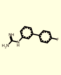 N=C(N)Nc1cccc(-c2ccc(F)cc2)c1